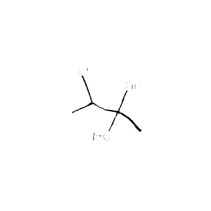 CCC(C)C(C)(N)O